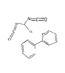 O=C=NC(Cl)N=C=O.c1ccc(-c2ccccc2)cc1